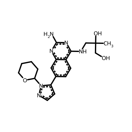 CC(O)(CO)CNc1nc(N)nc2cc(-c3ccnn3C3CCCCO3)ccc12